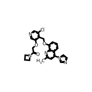 Cc1cc(-n2ccnc2)c2cccc(OCc3c(Cl)cncc3OCC(=O)N3CCC3)c2n1